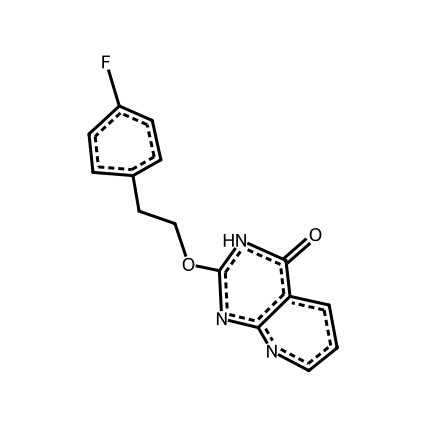 O=c1[nH]c(OCCc2ccc(F)cc2)nc2ncccc12